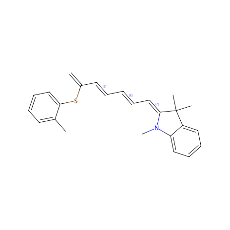 C=C(/C=C/C=C/C=C1\N(C)c2ccccc2C1(C)C)Sc1ccccc1C